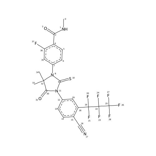 CNC(=O)c1ccc(N2C(=S)N(c3ccc(C#N)c(C(F)(F)C(F)(F)C(F)(F)F)c3)C(=O)C2(C)C)cc1F